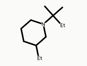 CCC1CCCN(C(C)(C)CC)C1